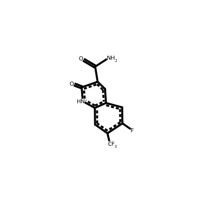 NC(=O)c1cc2cc(F)c(C(F)(F)F)cc2[nH]c1=O